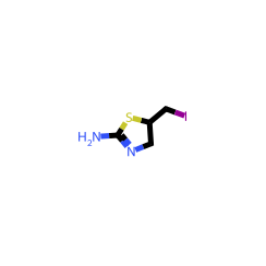 NC1=NCC(CI)S1